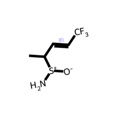 CC(/C=C/C(F)(F)F)[S+](N)[O-]